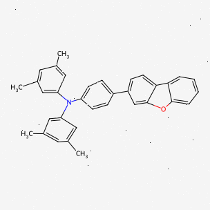 Cc1cc(C)cc(N(c2ccc(-c3ccc4c(c3)oc3ccccc34)cc2)c2cc(C)cc(C)c2)c1